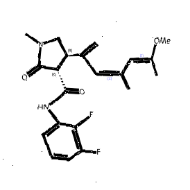 C=C(/C=C(C)\C=C(/C)OC)[C@@H]1CN(C)C(=O)[C@H]1C(=O)Nc1cccc(F)c1F